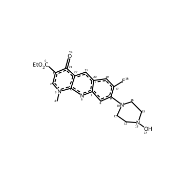 CCOC(=O)c1cn(C)c2nc3cc(N4CCN(O)CC4)c(F)cc3cc2c1=O